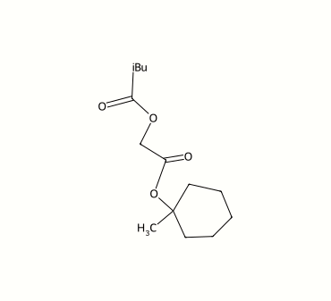 CCC(C)C(=O)OCC(=O)OC1(C)CCCCC1